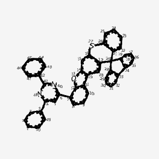 c1ccc(-c2cc(-c3cccc4c3oc3cc5c(cc34)C3(c4ccccc4S5)c4ccccc4-c4ccccc43)nc(-c3ccccc3)n2)cc1